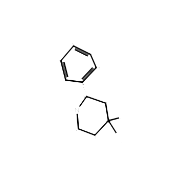 FC1(F)CCN[C@H](c2ccccc2)C1